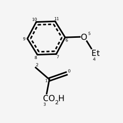 C=C(C)C(=O)O.[CH2]COc1ccccc1